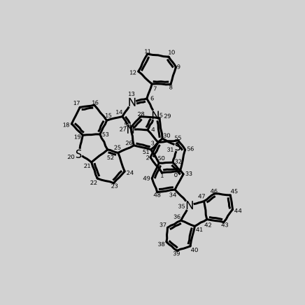 c1ccc(-c2nc(-c3ccccc3)nc(-c3cccc4sc5cccc(-c6cccc7sc8cc(-n9c%10ccccc%10c%10ccccc%109)ccc8c67)c5c34)n2)cc1